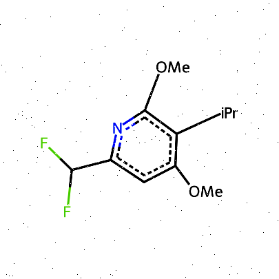 COc1cc(C(F)F)nc(OC)c1C(C)C